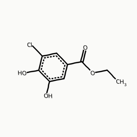 CCOC(=O)c1cc(O)c(O)c(Cl)c1